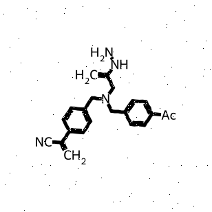 C=C(CN(Cc1ccc(C(=C)C#N)cc1)Cc1ccc(C(C)=O)cc1)NN